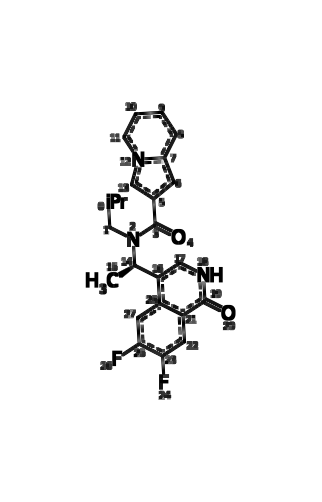 CC(C)CN(C(=O)c1cc2ccccn2c1)[C@H](C)c1c[nH]c(=O)c2cc(F)c(F)cc12